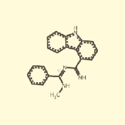 CN/C(=N\C(=N)c1cccc2[nH]c3ccccc3c12)c1ccccc1